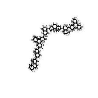 c1cc(-c2cnc3c(ccc4cc(-c5ccc(-c6ccc7c8ccccc8c8ccccc8c7c6)c6ncccc56)cnc43)c2)c2ccc(-c3ccc4c5ccc(-c6ccc7cc(-c8cnc9c(ccc%10cccnc%109)c8)ccc7c6)cc5c5ccccc5c4c3)cc2c1